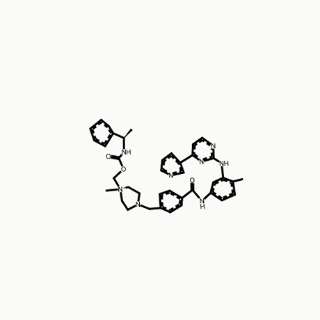 Cc1ccc(NC(=O)c2ccc(CN3CC[N+](C)(COC(=O)N[C@H](C)c4ccccc4)CC3)cc2)cc1Nc1nccc(-c2cccnc2)n1